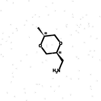 C[C@@H]1CO[C@@H](CN)CO1